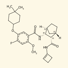 COc1cc(F)c(OC2CCC(C)(C)CC2)cc1C(=O)N[C@@H]1[C@H]2CC[C@@H](C2)[C@@H]1C(=O)NC1=CCC1